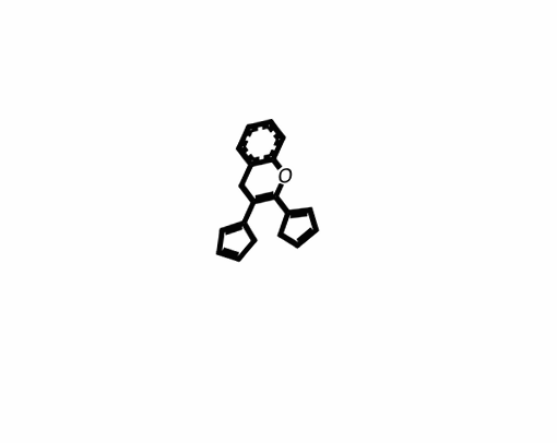 C1=CCC(C2=C(C3=CC=CC3)Oc3ccccc3C2)=C1